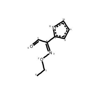 CCON=C([C]=O)c1cccs1